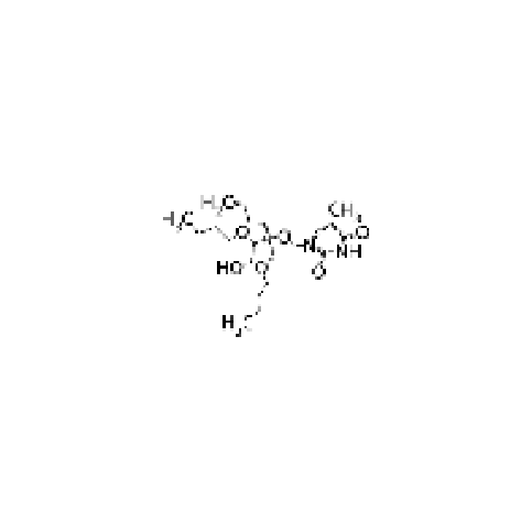 C=CCC[C@](COCCCC)(OCn1cc(C)c(=O)[nH]c1=O)C(CO)OCCCC